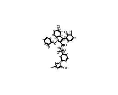 Cc1cc(O)n(-c2cccc(S(=O)(=O)NC(=O)c3c(-c4ccc[nH]c4=O)c4cc(Cl)ccc4n3Cc3ccccc3F)c2)n1